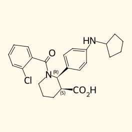 O=C(O)[C@H]1CCCN(C(=O)c2ccccc2Cl)[C@H]1c1ccc(NC2CCCC2)cc1